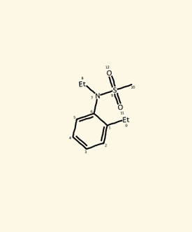 CCc1ccccc1N(CC)S(C)(=O)=O